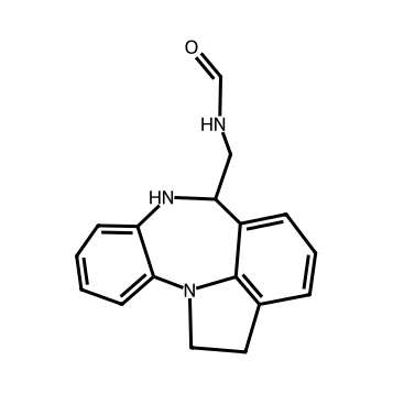 O=CNCC1Nc2ccccc2N2CCc3cccc1c32